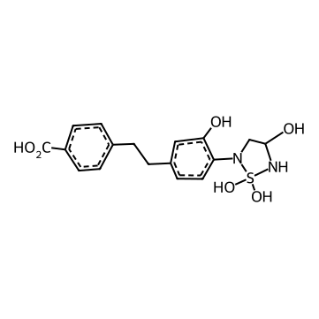 O=C(O)c1ccc(CCc2ccc(N3CC(O)NS3(O)O)c(O)c2)cc1